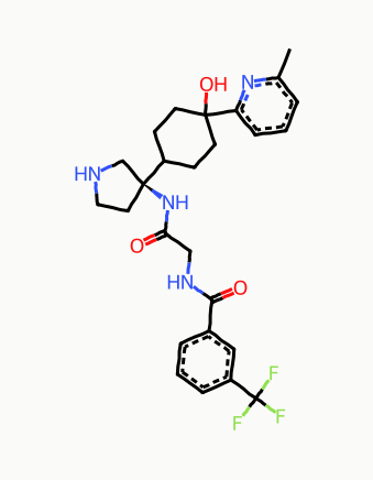 Cc1cccc(C2(O)CCC([C@]3(NC(=O)CNC(=O)c4cccc(C(F)(F)F)c4)CCNC3)CC2)n1